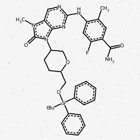 Cc1cc(C(N)=O)c(F)cc1Nc1ncc2c(n1)n(C1CCC(CO[Si](c3ccccc3)(c3ccccc3)C(C)(C)C)OC1)c(=O)n2C